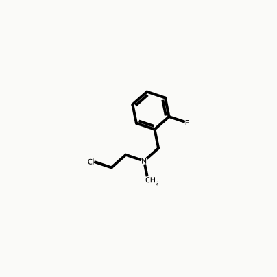 CN(CCCl)Cc1ccccc1F